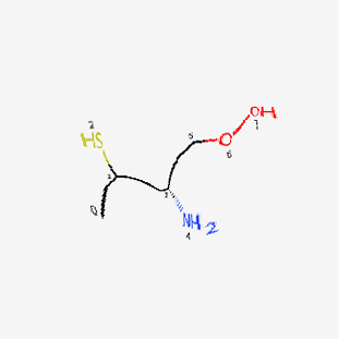 CC(S)[C@@H](N)COO